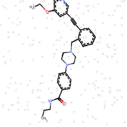 CCCNC(=O)c1ccc(N2CCN(Cc3ccccc3C#Cc3cncc(OCC)c3)CC2)cc1